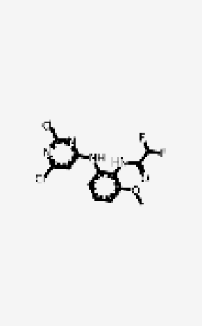 COc1cccc(Nc2cc(Cl)nc(Cl)n2)c1NC(=O)C(F)F